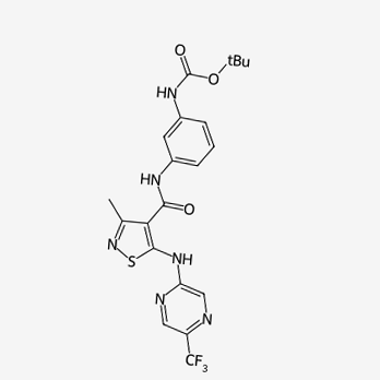 Cc1nsc(Nc2cnc(C(F)(F)F)cn2)c1C(=O)Nc1cccc(NC(=O)OC(C)(C)C)c1